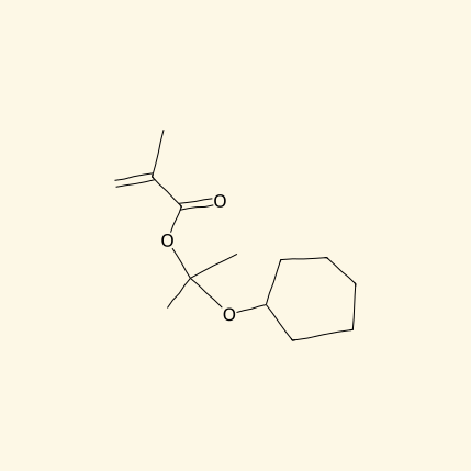 C=C(C)C(=O)OC(C)(C)OC1CCCCC1